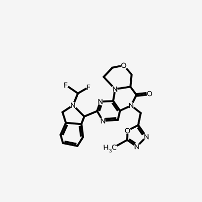 Cc1nnc(CN2C(=O)C3COCCN3c3nc(C4c5ccccc5CN4C(F)F)ncc32)o1